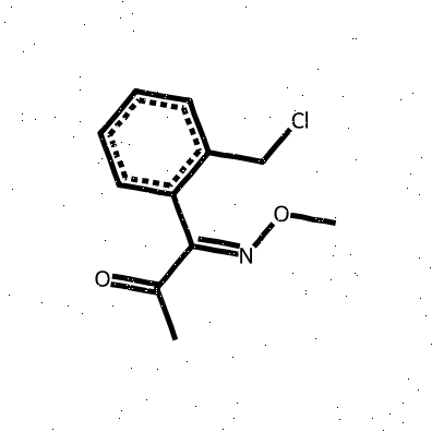 CO/N=C(/C(C)=O)c1ccccc1CCl